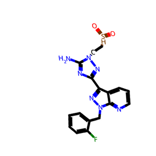 Nc1nc(-c2nn(Cc3ccccc3F)c3ncccc23)nn1CC[SH](=O)=O